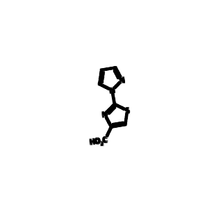 O=C(O)c1csc(-n2cccn2)n1